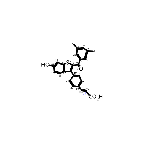 Cc1cc(C)cc(C(=O)c2sc3cc(O)ccc3c2-c2ccc(/C=C/C(=O)O)cc2)c1